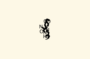 N#Cc1c(N2CCC3(CC2)OCCO3)nc(Cc2ccsc2)[nH]c1=O